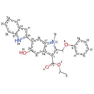 CCOC(=O)c1c(COc2ccccc2)n(C)c2cc(-c3cc4ccccc4[nH]3)c(O)cc12